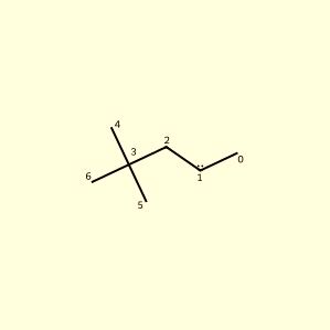 C[C]CC(C)(C)C